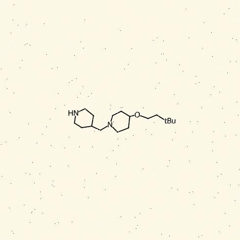 CC(C)(C)CCOC1CCN(CC2CCNCC2)CC1